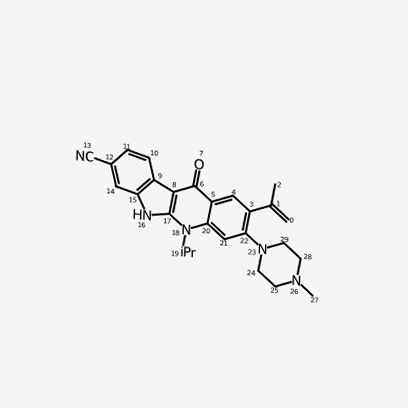 C=C(C)c1cc2c(=O)c3c4ccc(C#N)cc4[nH]c3n(C(C)C)c2cc1N1CCN(C)CC1